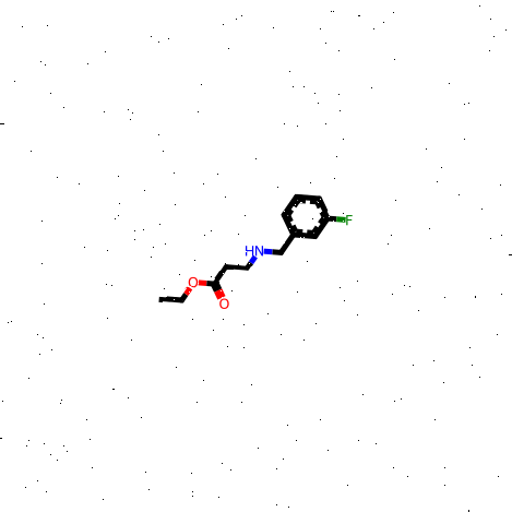 CCOC(=O)CCNCc1cccc(F)c1